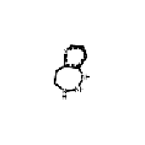 c1cnc2c(c1)NNNCC2